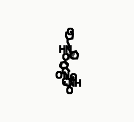 O=C1CCC(N2Cc3cc(O[C@H]4CCCC[C@H]4NCCC4CCOCC4)ccc3C2=O)C(=O)N1